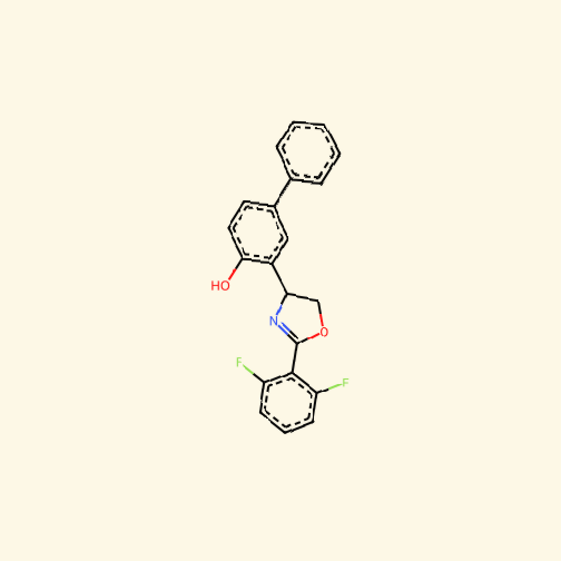 Oc1ccc(-c2ccccc2)cc1C1COC(c2c(F)cccc2F)=N1